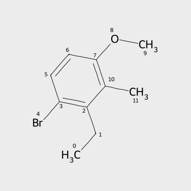 CCc1c(Br)ccc(OC)c1C